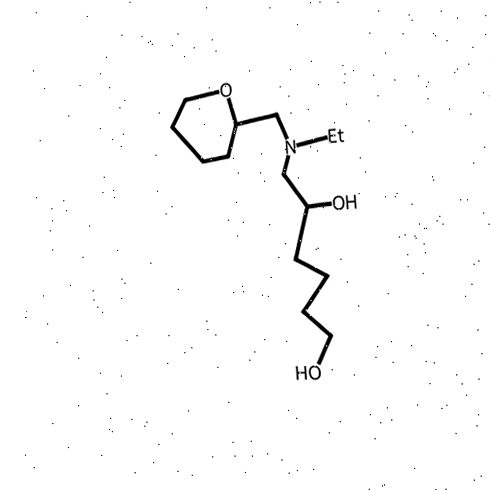 CCN(CC(O)CCCCO)CC1CCCCO1